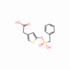 O=C(O)Cc1csc(OP(=O)(O)Cc2ccccc2)c1